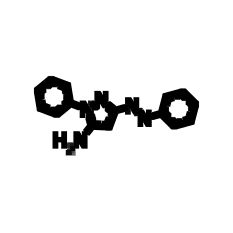 Nc1cc(N=Nc2ccccc2)nn1-c1ccccc1